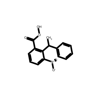 CC(c1ccccc1)c1c(C(=O)OO)cccc1[N+](=O)[O-]